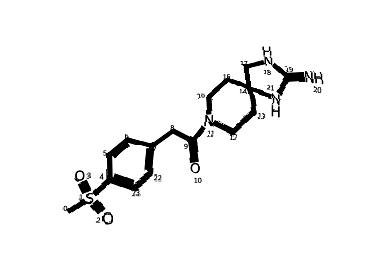 CS(=O)(=O)c1ccc(CC(=O)N2CCC3(CC2)CNC(=N)N3)cc1